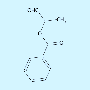 CC([C]=O)OC(=O)c1ccccc1